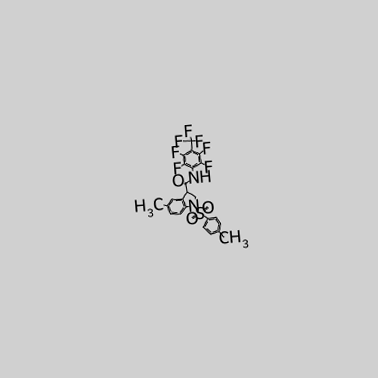 Cc1ccc(S(=O)(=O)N2CC(C(=O)Nc3c(F)c(F)c(C(F)(F)F)c(F)c3F)c3cc(C)ccc32)cc1